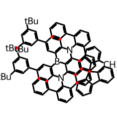 Cc1ccccc1C1(c2cc3c4c(c2)N(c2c(-c5ccccc5)cccc2-c2ccccc2)c2ccc(-c5cc(C(C)(C)C)cc(C(C)(C)C)c5)cc2B4c2cc(-c4cc(C(C)(C)C)cc(C(C)(C)C)c4)ccc2N3c2c(-c3ccccc3)cccc2-c2ccccc2)c2ccccc2-c2ccccc21